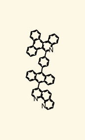 c1cnc2c(c1)ccc1c(-c3c4ccccc4c(-c4ccc(-c5nc6ccccc6c6c7ccccc7c7ccccc7c56)cc4)c4ccccc34)ccnc12